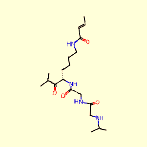 C/C=C/C(=O)NCCCC[C@H](NC(=O)CNC(=O)CNC(C)C)C(=O)C(C)C